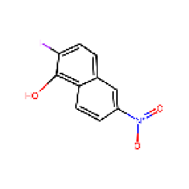 O=[N+]([O-])c1ccc2c(O)c(I)ccc2c1